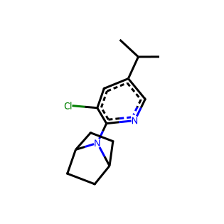 CC(C)c1cnc(N2C3CCC2CC3)c(Cl)c1